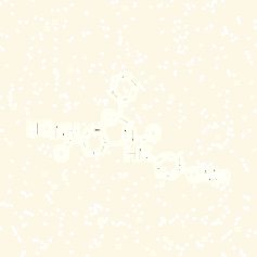 COc1ccc(NC(=O)N2C=C(c3ccccc3)Oc3cc(C(=O)NO)ccc3C2)cc1